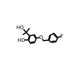 CC(C)(O)c1cc(OCc2ccc(F)cc2)ccc1O